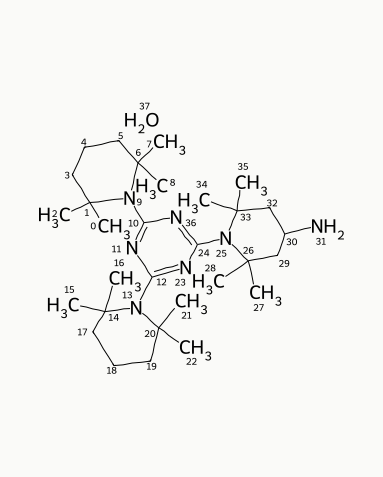 CC1(C)CCCC(C)(C)N1c1nc(N2C(C)(C)CCCC2(C)C)nc(N2C(C)(C)CC(N)CC2(C)C)n1.O